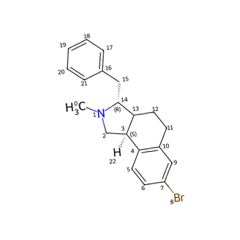 CN1C[C@@H]2c3ccc(Br)cc3CCC2[C@H]1Cc1ccccc1